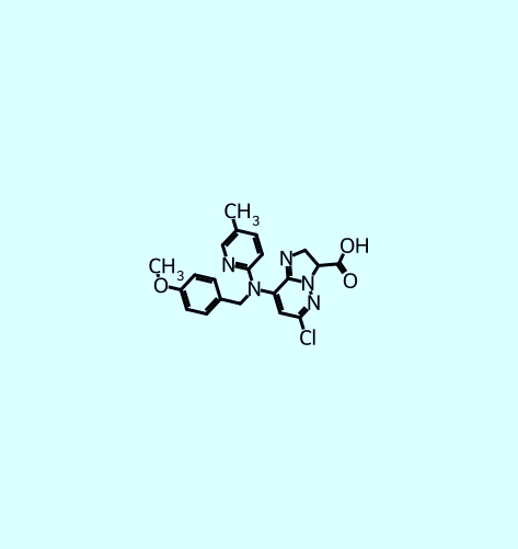 COc1ccc(CN(C2=CC(Cl)=NN3C2=NCC3C(=O)O)c2ccc(C)cn2)cc1